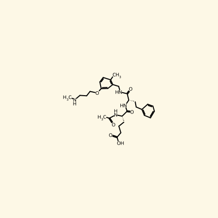 CNCCCOc1ccc(C)c(CNC(=O)[C@H](CCc2ccccc2)NC(=O)[C@H](CCCC(=O)O)NC(C)=O)c1